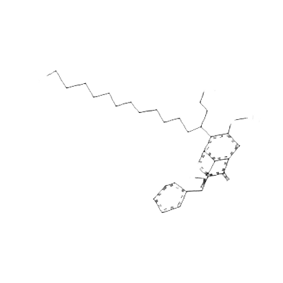 CCCCCCCCCCCCCC(CCC)c1c(OC)cc2c(OC)c1sc(=Cc1ccccc1)c2=O